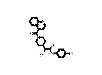 CC(C(=O)Nc1ccc(Cl)cc1)C1CCN(C(=O)c2ccnc3ccccc23)CC1